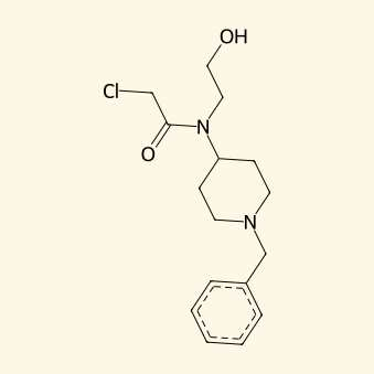 O=C(CCl)N(CCO)C1CCN(Cc2ccccc2)CC1